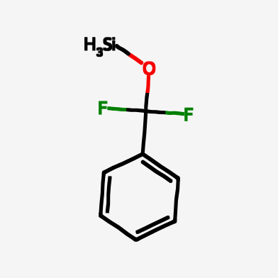 FC(F)(O[SiH3])c1ccccc1